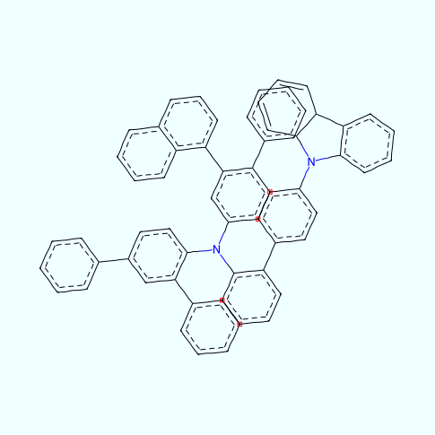 C1=CC2c3ccccc3N(c3ccc(-c4ccccc4N(c4ccc(-c5ccccc5)c(-c5cccc6ccccc56)c4)c4ccc(-c5ccccc5)cc4-c4ccccc4)cc3)C2C=C1